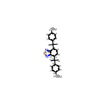 CC(C)(C)c1ccc(C(C)(C)c2ccc(C(C)(C)c3ccc(C(C)(C)C)cc3)c3nsnc23)cc1